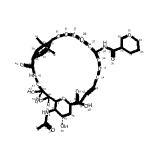 CC(=O)NC1C2O[C@](C(=O)O)(C/C=C/COCC(NC(=O)C3CCCOC3)COCCOc3c(C)cc(cc3C)C(=O)NC[C@@H](O)[C@H]2O)C[C@@H]1O